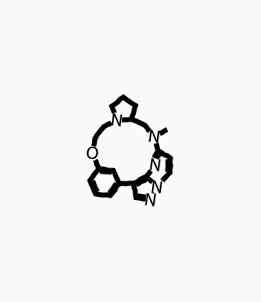 CN1CC2CCCN2CCOc2cccc(c2)-c2cnn3ccc1nc23